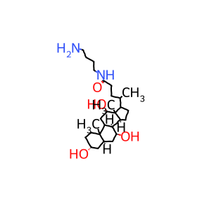 CC(CCC(=O)NCCCCN)C1CC[C@H]2[C@@H]3C(CC(O)C12C)C1(C)CC[C@@H](O)C[C@@H]1C[C@@H]3O